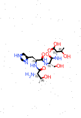 C[C@@H](O)[C@H](N)C(=O)N[C@@H](Cc1c[nH]cn1)C(=O)N[C@@H](CO)C(=O)N[C@H](C(=O)O)[C@@H](C)O